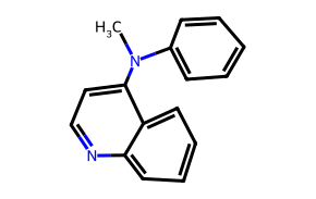 CN(c1ccccc1)c1ccnc2ccccc12